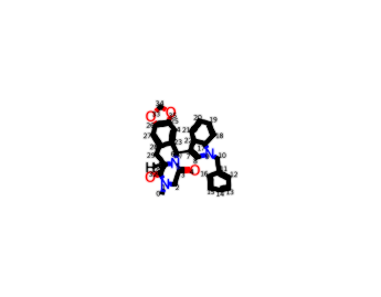 CN1CC(=O)N2[C@H](C3=CN(Cc4ccccc4)C4C=CC=CC34)c3cc4c(cc3C[C@H]2C1=O)OCO4